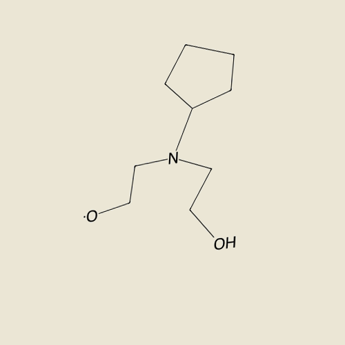 [O]CCN(CCO)C1CCCC1